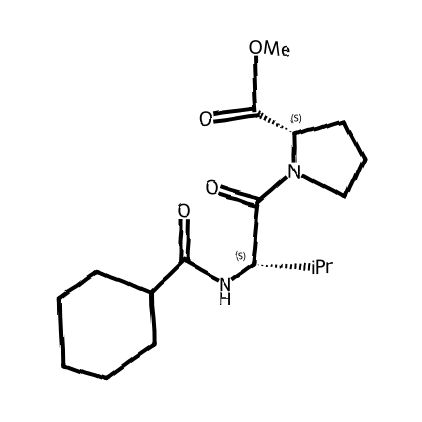 COC(=O)[C@@H]1CCCN1C(=O)[C@@H](NC(=O)C1CCCCC1)C(C)C